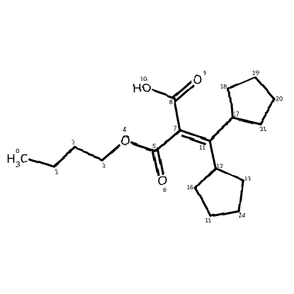 CCCCOC(=O)C(C(=O)O)=C(C1CCCC1)C1CCCC1